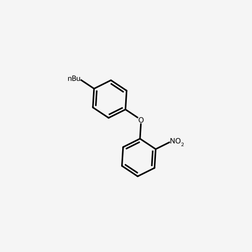 CCCCc1ccc(Oc2ccccc2[N+](=O)[O-])cc1